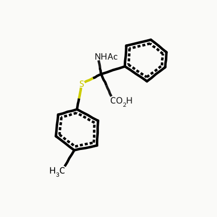 CC(=O)NC(Sc1ccc(C)cc1)(C(=O)O)c1ccccc1